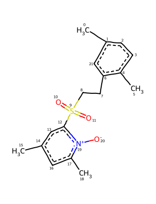 Cc1ccc(C)c(CCS(=O)(=O)c2cc(C)cc(C)[n+]2[O-])c1